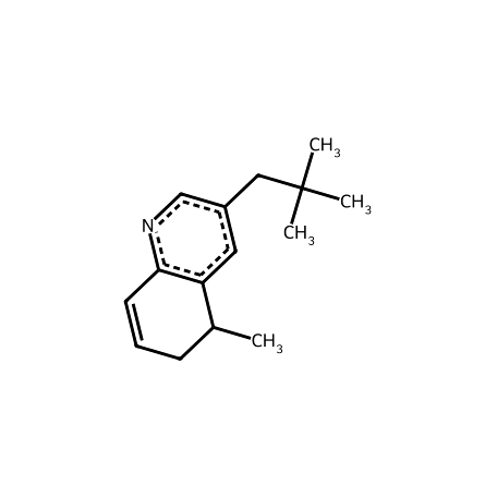 CC1CC=Cc2ncc(CC(C)(C)C)cc21